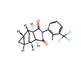 Cc1c(N2C(=O)[C@@H]3[C@@H]4CC[C@@H]([C@@H]5C[C@@H]54)[C@@H]3C2=O)cccc1C(F)(F)F